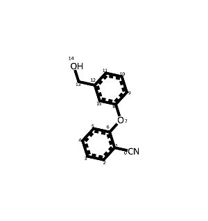 N#Cc1ccccc1Oc1cccc(CO)c1